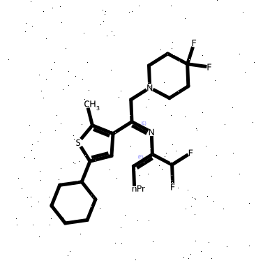 CCC/C=C(/N=C(/CN1CCC(F)(F)CC1)c1cc(C2CCCCC2)sc1C)C(F)F